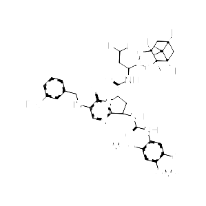 COc1cc(OC)c(NC(=O)N[C@]2(C)C[C@@H](C(=O)NC(CC(F)F)B3O[C@@H]4C[C@@H]5C[C@@H](C5(C)C)[C@]4(C)O3)n3c2ncc(NCc2cccc(C(F)(F)F)c2)c3=O)cc1Cl